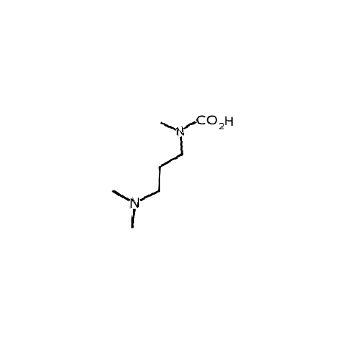 CN(C)CCCN(C)C(=O)O